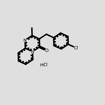 Cc1nc2ccccn2c(=O)c1Cc1ccc(Cl)cc1.Cl